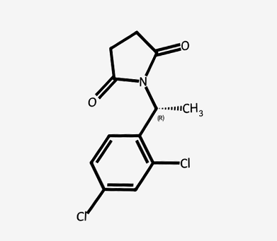 C[C@H](c1ccc(Cl)cc1Cl)N1C(=O)CCC1=O